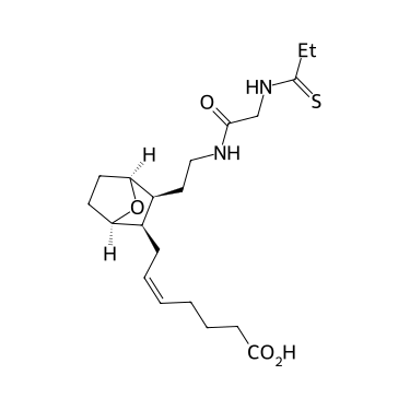 CCC(=S)NCC(=O)NCC[C@H]1[C@@H](C/C=C\CCCC(=O)O)[C@H]2CC[C@@H]1O2